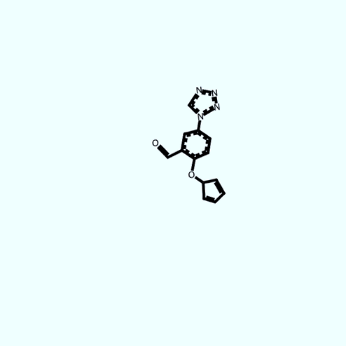 O=Cc1cc(-n2cnnn2)ccc1OC1C=CC=C1